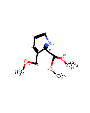 COCc1c[c]cnc1C(OC)OC